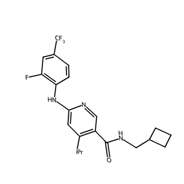 CC(C)c1cc(Nc2ccc(C(F)(F)F)cc2F)ncc1C(=O)NCC1CCC1